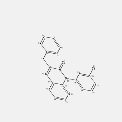 O=c1c(Cc2ccccc2)nc2cccnc2n1-c1cccc(Cl)c1